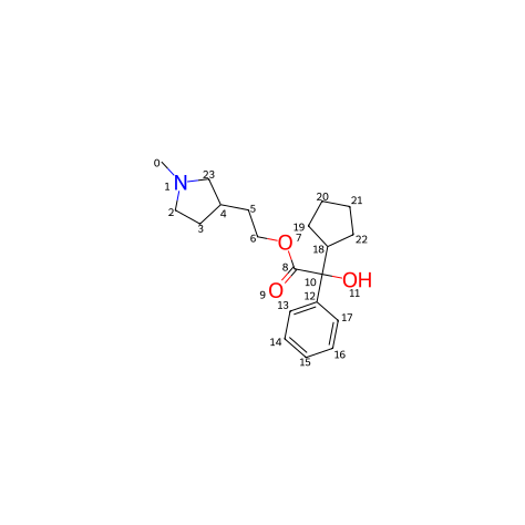 CN1CCC(CCOC(=O)C(O)(c2ccccc2)C2CCCC2)C1